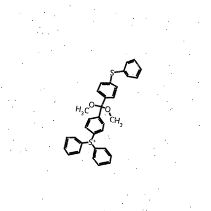 COC(OC)(c1ccc(Sc2ccccc2)cc1)c1ccc([S+](c2ccccc2)c2ccccc2)cc1